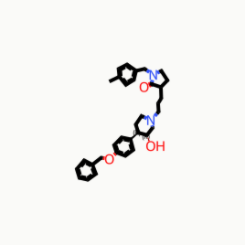 Cc1ccc(CN2CCC(CCCN3CC[C@H](c4ccc(OCc5ccccc5)cc4)[C@@H](O)C3)C2=O)cc1